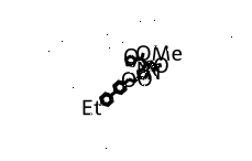 CCc1ccc(-c2ccc(OCC3Cn4c(C(OC)C5CCCO5)cc(=O)nc4O3)cc2)cc1